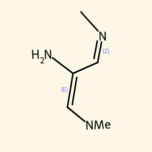 C/N=C\C(N)=C/NC